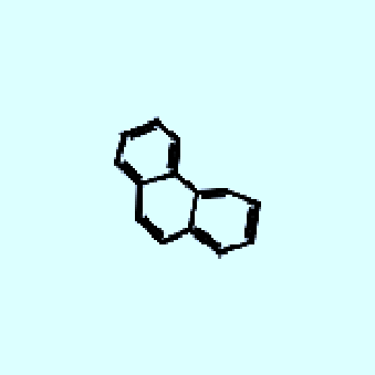 [c]1[c]cc2c(c1)ccc1[c]cccc12